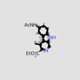 CCOC(=O)c1ncc2[nH]c3ccc(NC(C)=O)cc3c2c1C